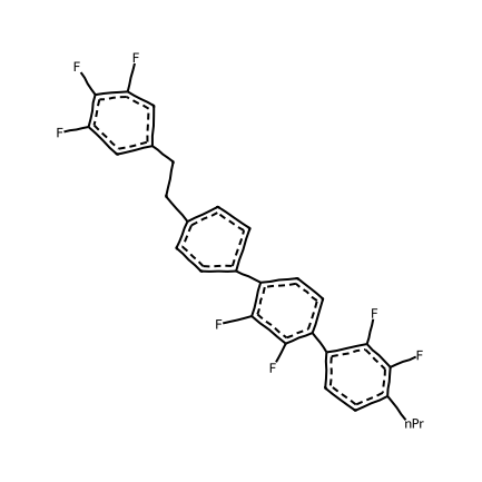 CCCc1ccc(-c2ccc(-c3ccc(CCc4cc(F)c(F)c(F)c4)cc3)c(F)c2F)c(F)c1F